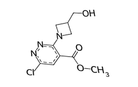 COC(=O)c1cc(Cl)nnc1N1CC(CO)C1